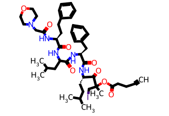 C#CCCC(=O)OC(C)(CI)C(=O)[C@H](CCC(C)C)NC(=O)[C@H](Cc1ccccc1)NC(=O)C(CC(C)C)NC(=O)[C@H](CCc1ccccc1)NC(=O)CN1CCOCC1